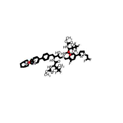 COC(=O)NC(C(=O)NC(Cc1ccc(-c2ccc(N3CC4CCC(C3)N4C3COC3)nc2)cc1)C(O)CN(Cc1c(F)cc(-c2ccn(CC(F)F)n2)cc1F)NC(=O)C(NC(=O)OC)C(C)(C)C(F)(F)F)C(C)(C)C(F)(F)F